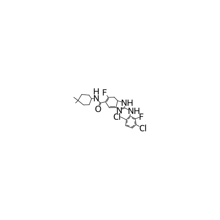 CC1(C)CCC(NC(=O)C2=C(F)CC3NC(Nc4c(Cl)ccc(Cl)c4F)=NC3=C2)CC1